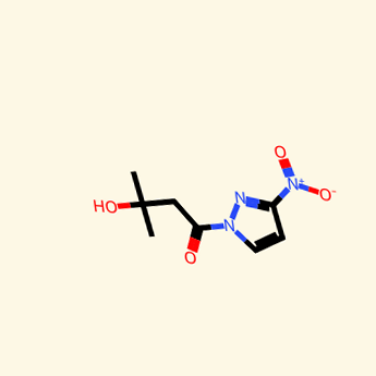 CC(C)(O)CC(=O)n1ccc([N+](=O)[O-])n1